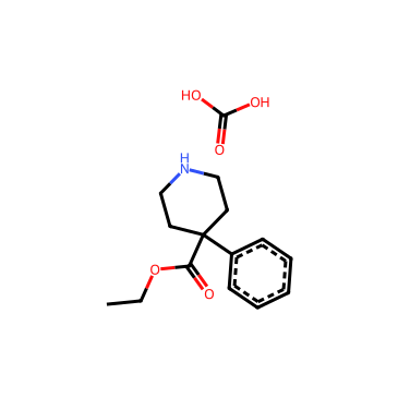 CCOC(=O)C1(c2ccccc2)CCNCC1.O=C(O)O